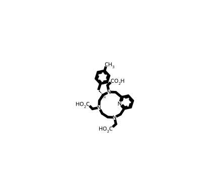 Cc1ccc(C[C@H]2CN(CC(=O)O)CCN(CC(=O)O)Cc3cccc(n3)CN2CC(=O)O)cc1